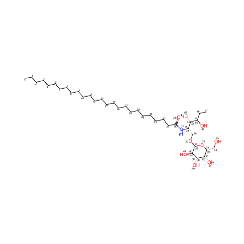 CCCCCCCCCCCCCCCCCCCCCCCCCC(=O)N[C@@H](CO[C@H]1O[C@H](CO)[C@H](O)[C@H](O)[C@H]1O)[C@H](O)[C@H](O)CC